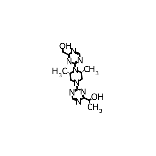 CC(O)c1ncnc(N2C[C@@H](C)N(c3ncnc(CO)n3)[C@@H](C)C2)n1